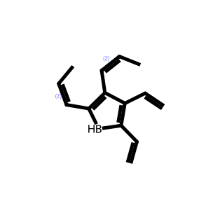 C=CC1=C(C=C)C(/C=C\C)=C(/C=C\C)B1